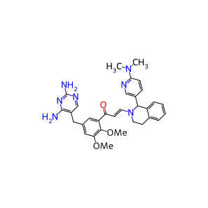 COc1cc(Cc2cnc(N)nc2N)cc(C(=O)/C=C/N2CCc3ccccc3C2c2ccc(N(C)C)nc2)c1OC